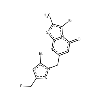 CCc1cc(CF)nn1Cc1cc(=O)n2c(Br)c(C)sc2n1